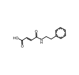 O=C(O)C=CC(=O)NCCc1ccccc1